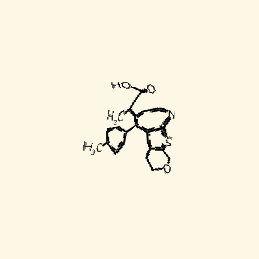 Cc1ccc(-c2c(C(C)C(=O)O)cnc3sc4c(c23)CCOC4)cc1